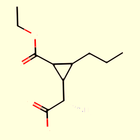 CCCC1C(C(=O)OCC)C1[C@H](N)C(=O)O